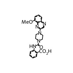 COc1cccc2ncc(N3CCN(C(=O)Nc4ccccc4C(=O)O)CC3)nc12